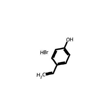 Br.C=Cc1ccc(O)cc1